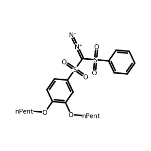 CCCCCOc1ccc(S(=O)(=O)C(=[N+]=[N-])S(=O)(=O)c2ccccc2)cc1OCCCCC